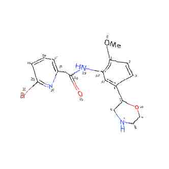 COc1ccc(C2CNCCO2)cc1NC(=O)c1cccc(Br)n1